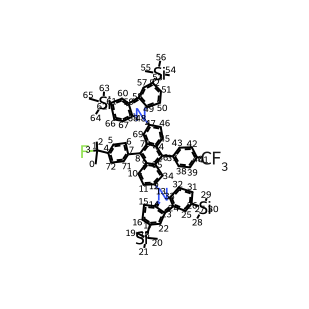 CC(C)(F)c1ccc(-c2c3ccc(-n4c5ccc([Si](C)(C)C)cc5c5cc([Si](C)(C)C)ccc54)cc3c(-c3ccc(C(F)(F)F)cc3)c3ccc(-n4c5ccc([Si](C)(C)C)cc5c5cc([Si](C)(C)C)ccc54)cc23)cc1